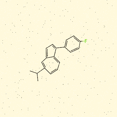 CC(C)c1cccc2c(-c3ccc(F)cc3)ccc-2c1